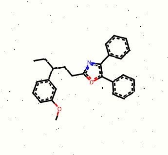 CCC(CCc1nc(-c2ccccc2)c(-c2ccccc2)o1)c1cccc(OC)c1